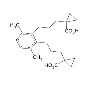 Cc1ccc(C)c(CCCC2(C(=O)O)CC2)c1CCCC1(C(=O)O)CC1